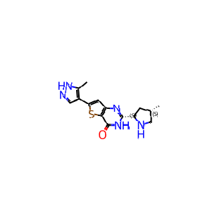 Cc1[nH]ncc1-c1cc2nc([C@@H]3C[C@H](C)CN3)[nH]c(=O)c2s1